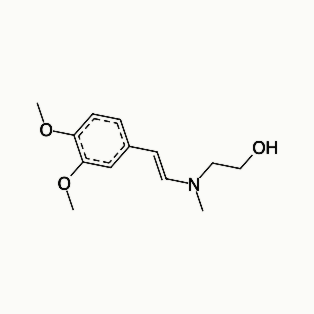 COc1ccc(C=CN(C)CCO)cc1OC